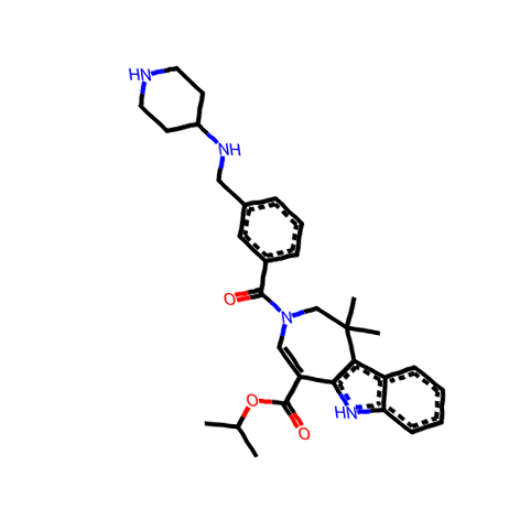 CC(C)OC(=O)C1=CN(C(=O)c2cccc(CNC3CCNCC3)c2)CC(C)(C)c2c1[nH]c1ccccc21